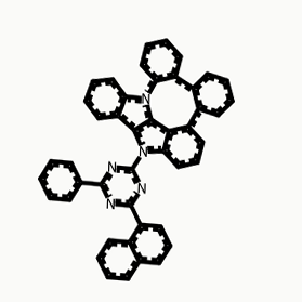 c1ccc(-c2nc(-c3cccc4ccccc34)nc(-n3c4cccc5c6ccccc6c6ccccc6n6c7ccccc7c3c6c54)n2)cc1